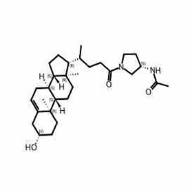 CC(=O)N[C@H]1CCN(C(=O)CCC(C)[C@H]2CC[C@H]3[C@@H]4CC=C5C[C@@H](O)CC[C@]5(C)[C@H]4CC[C@]23C)C1